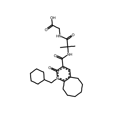 CC(C)(NC(=O)c1cc2c(n(CC3CCCCC3)c1=O)CCCCCC2)C(=O)NCC(=O)O